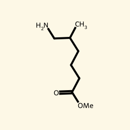 COC(=O)CCCC(C)CN